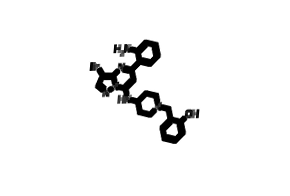 Nc1ccccc1-c1cc(NC2CCN(Cc3ccccc3O)CC2)n2ncc(Br)c2n1